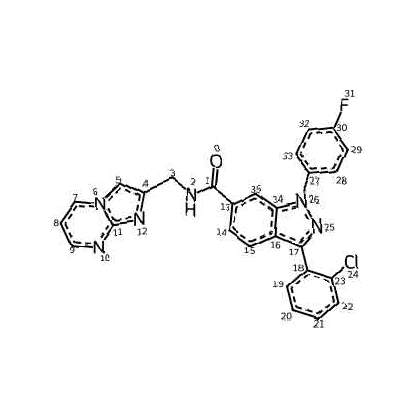 O=C(NCc1cn2cccnc2n1)c1ccc2c(-c3ccccc3Cl)nn(-c3ccc(F)cc3)c2c1